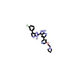 Fc1cccc(-c2ccnc3[nH]c(-c4n[nH]c5ncc(-c6cncc(OCCN7CCCC7)c6)cc45)nc23)c1